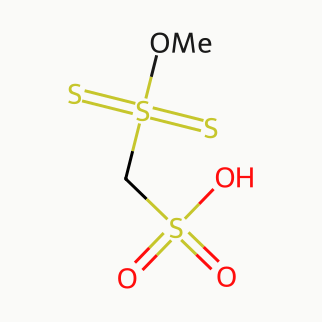 COS(=S)(=S)CS(=O)(=O)O